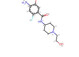 COc1cc(C(=O)NC2CCN(CCO)CC2)c(F)cc1N